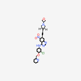 O=[N+]([O-])c1cc2c(Nc3ccc(OCc4ccccn4)c(Cl)c3)ncnc2cc1C#CC1[C@H]2CN(C3COC3)C[C@@H]12